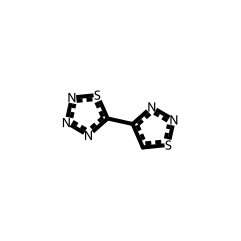 c1snnc1-c1nnns1